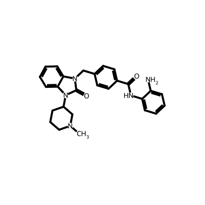 CN1CCCC(n2c(=O)n(Cc3ccc(C(=O)Nc4ccccc4N)cc3)c3ccccc32)C1